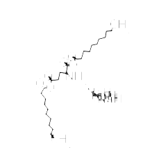 C=CCCCCCCCCC(=O)OC(=O)CC[C@H](N)C(=O)OC(=O)CCCCCCCCC=C.[NaH].[NaH].[NaH].[NaH]